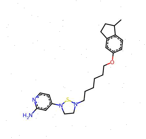 CC1CCc2cc(OCCCCCCN3CCN(c4ccnc(N)c4)S3)ccc21